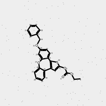 CCOC(=O)Oc1cc2c(s1)-c1ccc(OCc3ccccc3)cc1Oc1ccccc1-2